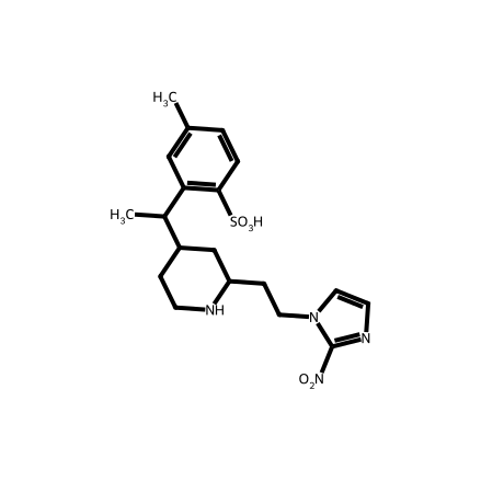 Cc1ccc(S(=O)(=O)O)c(C(C)C2CCNC(CCn3ccnc3[N+](=O)[O-])C2)c1